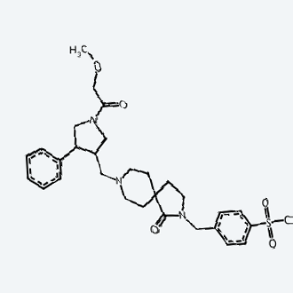 COCC(=O)N1CC(CN2CCC3(CC2)CCN(Cc2ccc(S(C)(=O)=O)cc2)C3=O)C(c2ccccc2)C1